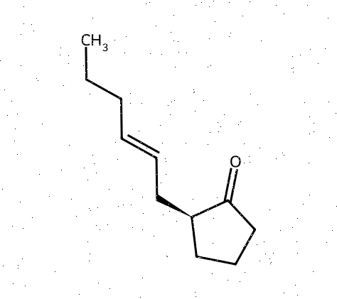 CCC/C=C/C[C@@H]1CCCC1=O